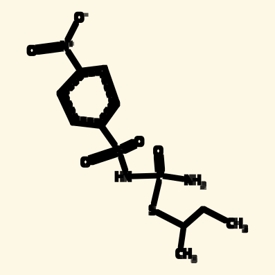 CCC(C)SP(N)(=O)NS(=O)(=O)c1ccc([N+](=O)[O-])cc1